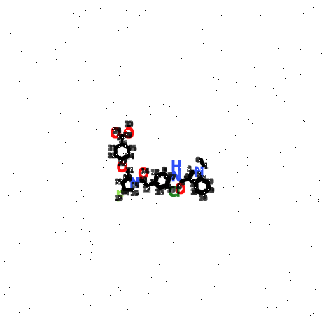 CCn1cc(C(=O)Nc2ccc(CC(=O)N3C[C@@H](F)C[C@H]3CO[C@H]3CC[C@H](C(=O)OC)CC3)cc2Cl)c2ccccc21